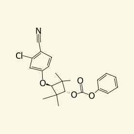 CC1(C)[C@H](OC(=O)Oc2ccccc2)C(C)(C)[C@H]1Oc1ccc(C#N)c(Cl)c1